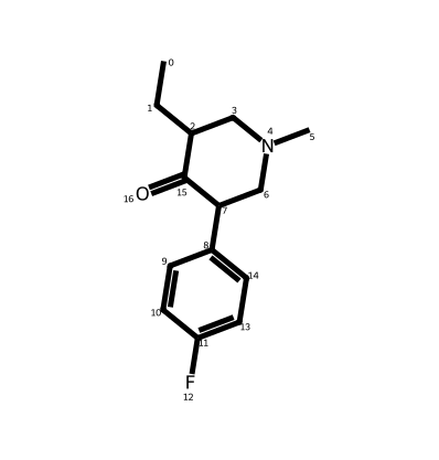 CCC1CN(C)CC(c2ccc(F)cc2)C1=O